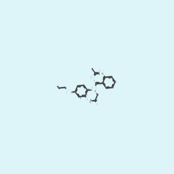 Cc1nc(N2CC(=O)Nc3cc(OCCF)ccc32)c2ccccc2n1